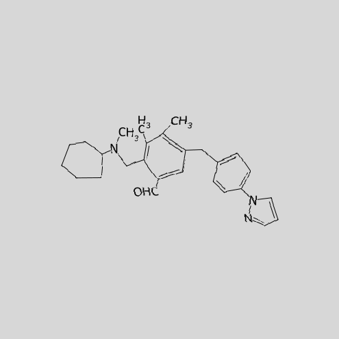 Cc1c(Cc2ccc(-n3cccn3)cc2)cc(C=O)c(CN(C)C2CCCCC2)c1C